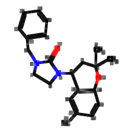 CC1(C)CC(N2CCN(Cc3ccccc3)C2=O)c2cc(C#N)ccc2O1